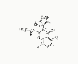 CC(NC(=O)O)c1nc2c(F)ccc(Cl)c2c(=O)n1-c1cc[nH]n1